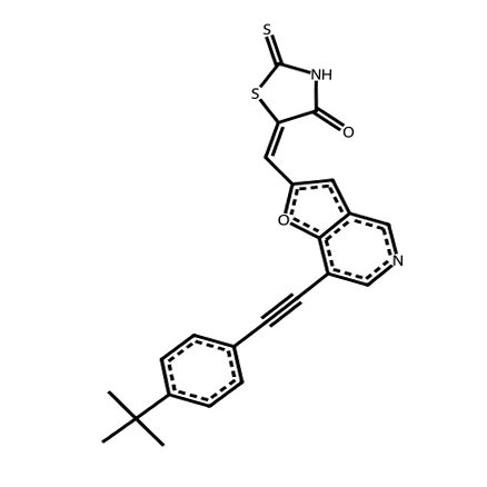 CC(C)(C)c1ccc(C#Cc2cncc3cc(/C=C4/SC(=S)NC4=O)oc23)cc1